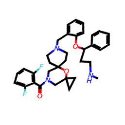 CNCCC(Oc1ccccc1CN1CCC2(CC1)CN(C(=O)c1c(F)cccc1F)CC1(CC1)O2)c1ccccc1